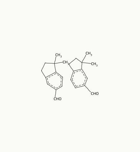 CC1(C)CCc2cc(C=O)ccc21.CC1(C)CCc2ccc(C=O)cc21